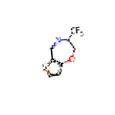 FC(F)(F)C1COc2ccsc2C=N1